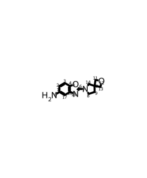 Nc1ccc2oc(N3CCC4(COC4)C3)nc2c1